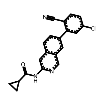 N#Cc1ccc(Cl)cc1-c1ccc2cc(NC(=O)C3CC3)ncc2c1